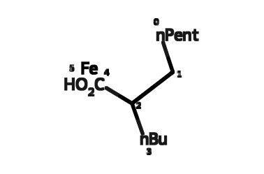 CCCCCCC(CCCC)C(=O)O.[Fe]